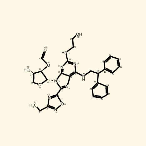 CCc1noc(-c2nc3c(NCC(c4ccccc4)c4ccccc4)nc(NCCO)nc3n2[C@@H]2OC[C@H](O)[C@H]2OC=O)n1